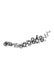 CCCCCC[C@@H](C)OC(=O)c1ccc(OC(=O)c2ccc(-c3ccc(OCCCCCCOCC4(C)COC4)cc3)cc2)cc1F